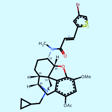 COc1cc(OC(C)=O)c2c3c1O[C@H]1[C@@H](N(C)C(=O)/C=C/c4cc(Br)cs4)CC[C@H]4[C@@H](C2)N(CC2CC2)CC[C@@]341